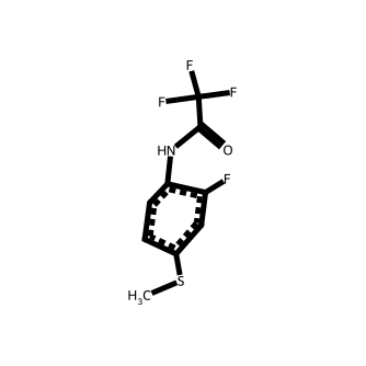 CSc1ccc(NC(=O)C(F)(F)F)c(F)c1